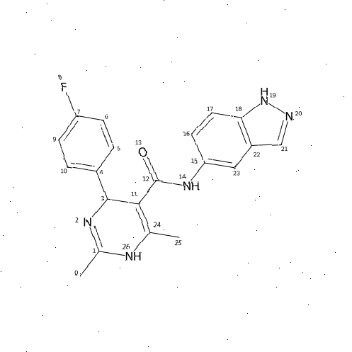 CC1=NC(c2ccc(F)cc2)C(C(=O)Nc2ccc3[nH]ncc3c2)=C(C)N1